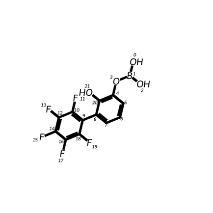 OB(O)Oc1cccc(-c2c(F)c(F)c(F)c(F)c2F)c1O